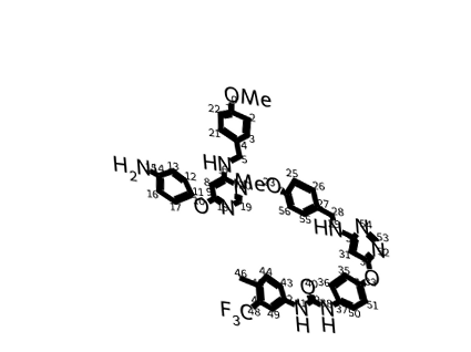 COc1ccc(CNc2cc(Oc3ccc(N)cc3)ncn2)cc1.COc1ccc(CNc2cc(Oc3ccc(NC(=O)Nc4ccc(C)c(C(F)(F)F)c4)cc3)ncn2)cc1